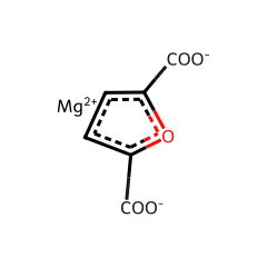 O=C([O-])c1ccc(C(=O)[O-])o1.[Mg+2]